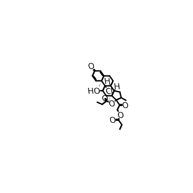 CCC(=O)OCC(=O)[C@@]1(OC(=O)CC)C(C)C[C@H]2[C@@H]3CCC4=CC(=O)C=C[C@]4(C)[C@@]3(Cl)C(O)C[C@@]21C